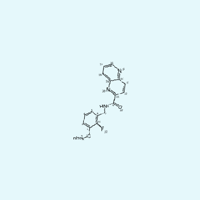 CCCCCCOc1cccc(CNC(=O)c2ccc3ncccc3n2)c1F